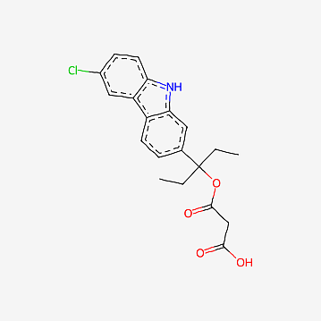 CCC(CC)(OC(=O)CC(=O)O)c1ccc2c(c1)[nH]c1ccc(Cl)cc12